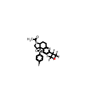 CC(=O)N1CCC2(S(=O)(=O)c3ccc(F)cc3)c3ccc(C(F)(C(F)(F)F)C(F)(F)F)nc3CCC12